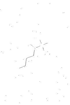 CN(CCCBr)[Si](C)(C)C(C)(C)C